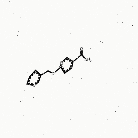 NC(=O)c1ccc(OCc2cccnc2)nc1